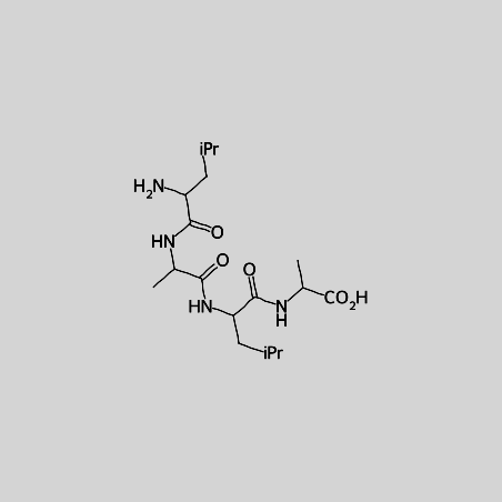 CC(C)CC(N)C(=O)NC(C)C(=O)NC(CC(C)C)C(=O)NC(C)C(=O)O